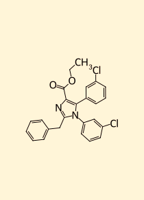 CCOC(=O)c1nc(Cc2ccccc2)n(-c2cccc(Cl)c2)c1-c1cccc(Cl)c1